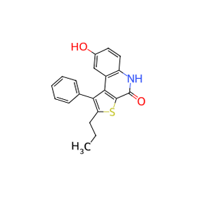 CCCc1sc2c(=O)[nH]c3ccc(O)cc3c2c1-c1ccccc1